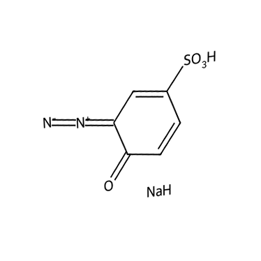 [N-]=[N+]=C1C=C(S(=O)(=O)O)C=CC1=O.[NaH]